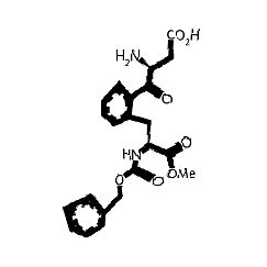 COC(=O)[C@H](Cc1ccccc1C(=O)[C@@H](N)CC(=O)O)NC(=O)OCc1ccccc1